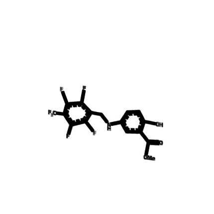 COC(=O)c1cc(NCc2c(F)c(F)c(C(F)(F)F)c(F)c2F)ccc1O